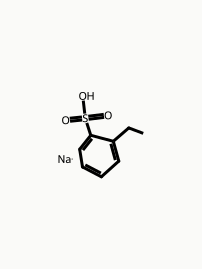 CCc1ccccc1S(=O)(=O)O.[Na]